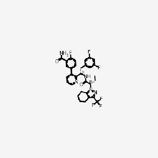 CC[C@@H](C(=O)N[C@@H](Cc1cc(F)cc(F)c1)c1ncccc1-c1ccc(F)c(C(N)=O)c1)n1nc(C(F)(F)F)c2c1CCCC2